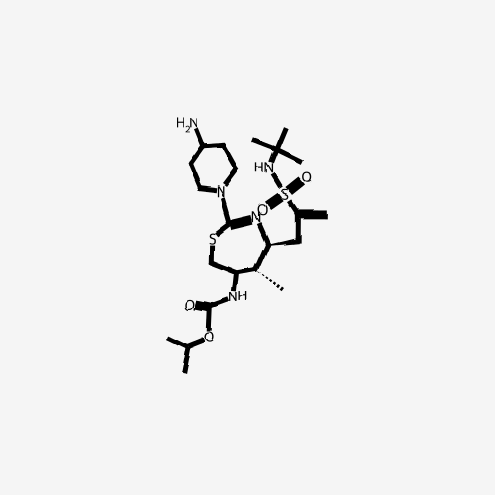 C=C(C[C@@H]1N=C(N2CCC(N)CC2)SCC(NC(=O)OC(C)C)[C@H]1C)S(=O)(=O)NC(C)(C)C